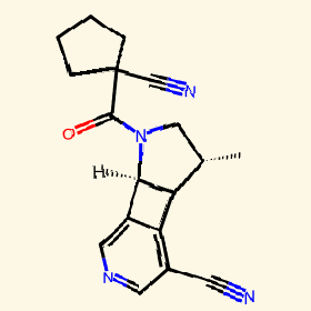 C[C@H]1CN(C(=O)C2(C#N)CCCC2)[C@@H]2c3cncc(C#N)c3C21